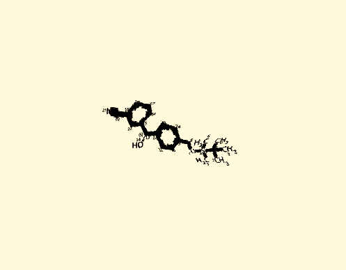 CC(C)(C)[Si](C)(C)OCc1ccc([C@H](O)c2cccc(C#N)c2)cc1